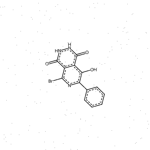 O=c1[nH][nH]c(=O)c2c(O)c(-c3ccccc3)nc(Br)c12